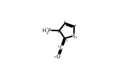 O=C=C1SC=CC1P